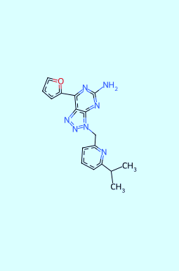 CC(C)c1cccc(Cn2nnc3c(-c4ccco4)nc(N)nc32)n1